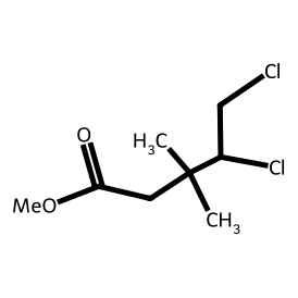 COC(=O)CC(C)(C)C(Cl)CCl